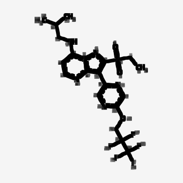 CCS(=O)(=O)c1nn2c(NCC(C)C)ccnc2c1-c1cnc(OCC(F)(F)C(F)(F)F)cn1